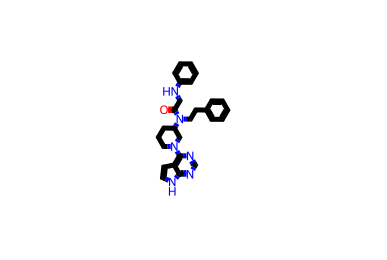 O=C(CNc1ccccc1)N(CCc1ccccc1)C1CCCN(c2ncnc3[nH]ccc23)C1